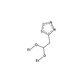 CCOC(Cc1nncs1)OCC